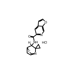 Cl.O=C(N[C@H]1C2CCN(CC2)C12CC2)c1cc2ccoc2cn1